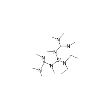 CCN(CC)[S+](N(C)C(=NC)N(C)C)N(C)C(=NC)N(C)C